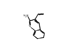 C=Cc1cc2c(nc1N)=CCCC=2